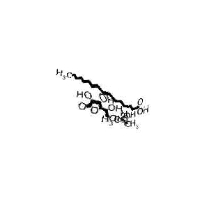 CCCCCCCCCCCCCCCC(=O)O.C[SiH](C)O.O=C1O[C@H]([C@@H](O)CO)C(O)=C1O